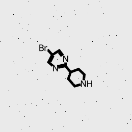 Brc1cnc(C2CCNCC2)nc1